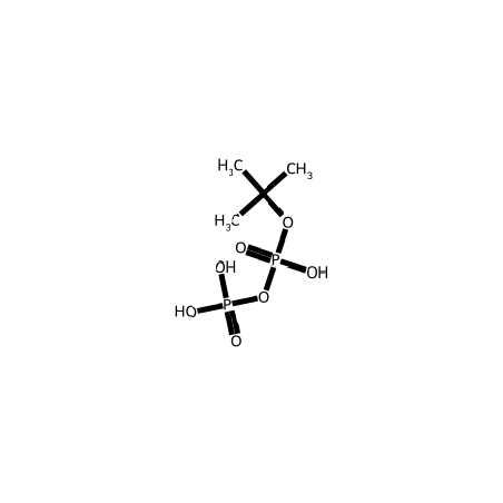 CC(C)(C)OP(=O)(O)OP(=O)(O)O